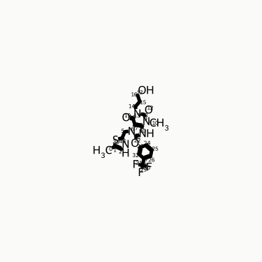 CC1=CNC(CN2c3c(n(C)c(=O)n(CCCO)c3=O)NC2Oc2cccc(C(F)(F)F)c2)S1